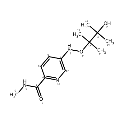 CNC(=O)c1ccc(BOC(C)(C)C(C)(C)O)cn1